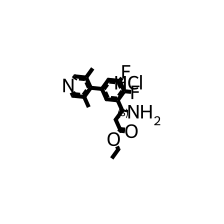 CCOC(=O)C[C@H](N)c1cc(-c2c(C)cncc2C)cc(F)c1F.Cl